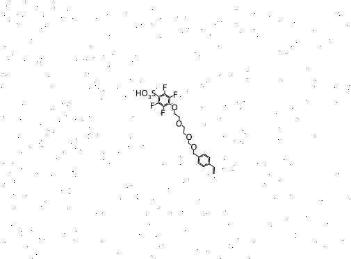 C=Cc1ccc(COCOCCOCCOc2c(F)c(F)c(S(=O)(=O)O)c(F)c2F)cc1